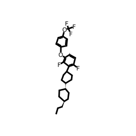 CCC[C@H]1CC[C@H](C2CCC(c3c(F)c[c]c(Oc4ccc(OC(F)(F)F)cc4)c3F)CC2)CC1